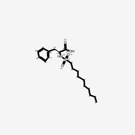 CCCCCCCCCCS(=O)(=O)N[C@@H](Cc1ccccc1)C(=O)O